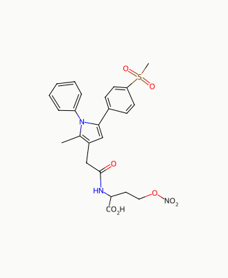 Cc1c(CC(=O)NC(CCO[N+](=O)[O-])C(=O)O)cc(-c2ccc(S(C)(=O)=O)cc2)n1-c1ccccc1